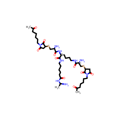 CC(=O)CCCCCN1C(=O)CC(SCC(N)C(=O)N[C@@H](CCCCNC(=O)[C@@H](N)CSC2CC(=O)N(CCCCCC(C)=O)C2=O)C(=O)NCCCCCC(=O)NC(C)N)C1=O